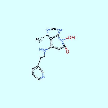 Cc1ncnc2c1c(NCCc1cccnc1)cc(=O)n2O